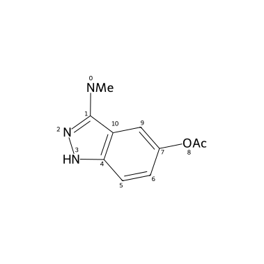 CNc1n[nH]c2ccc(OC(C)=O)cc12